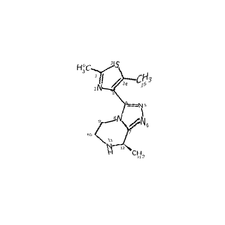 Cc1nc(-c2nnc3n2CCN[C@@H]3C)c(C)s1